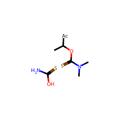 CC(=O)C(C)OC(=S)N(C)C.NC(O)=S